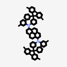 Cc1cccc(N(c2cccc(C3(c4ccccc4)c4cc(C)ccc4-c4ccc(C)cc43)c2)c2ccc3ccc4c(N(c5cccc(C)c5)c5cccc(C6(c7ccccc7)c7cc(C)ccc7-c7ccc(C)cc76)c5)ccc5ccc2c3c54)c1